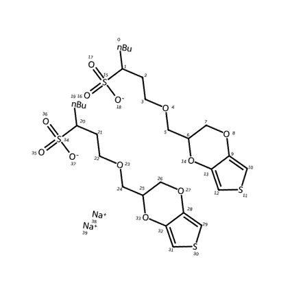 CCCCC(CCOCC1COc2cscc2O1)S(=O)(=O)[O-].CCCCC(CCOCC1COc2cscc2O1)S(=O)(=O)[O-].[Na+].[Na+]